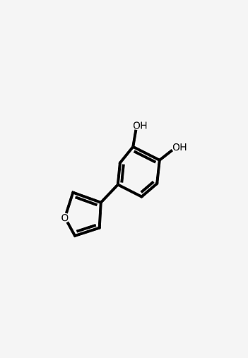 Oc1ccc(-c2ccoc2)cc1O